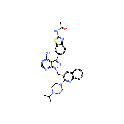 CC(=O)Nc1nc2ccc(-c3nn(Cc4cc5ccccc5nc4N4CCN(C(C)C)CC4)c4ncnc(N)c34)cc2s1